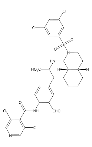 O=Cc1cc(CC(NC2[C@H]3CCCC[C@H]3CCN2S(=O)(=O)c2cc(Cl)cc(Cl)c2)C(=O)O)ccc1NC(=O)c1c(Cl)cncc1Cl